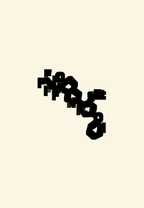 CCSc1cc(Oc2ccccn2)cnc1-c1cc2ccc(=O)n(C(F)C(F)(F)C(F)F)c2cn1